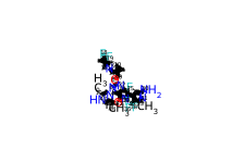 CC[C@@H]1CN2c3nc(OCC4(CN5CC6(C5)CC6(F)F)CC4)nc4c(F)c(-c5cc(N)nc(C)c5C(F)(F)F)nc(c34)O[C@@H](C)[C@@H]2CN1